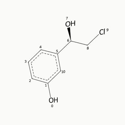 Oc1cccc([C@@H](O)CCl)c1